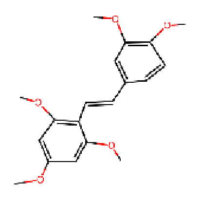 COc1cc(OC)c(/C=C/c2ccc(OC)c(OC)c2)c(OC)c1